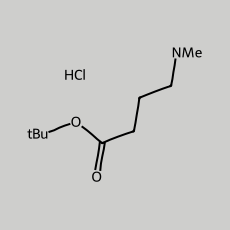 CNCCCC(=O)OC(C)(C)C.Cl